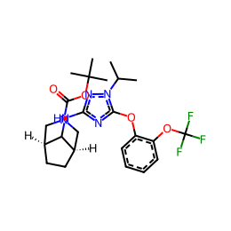 CC(C)n1nc(NC2[C@@H]3CC[C@H]2CN(C(=O)OC(C)(C)C)C3)nc1Oc1ccccc1OC(F)(F)F